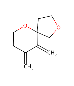 C=C1CCOC2(CCOC2)C1=C